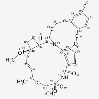 CO[C@H]1/C=C/[C@@H](C)C[C@@H](C)S(=O)(=O)NC(=O)c2ccc3c(c2)N(CCCCc2cc(Cl)ccc2CO3)C[C@@H]2CC[C@H]21